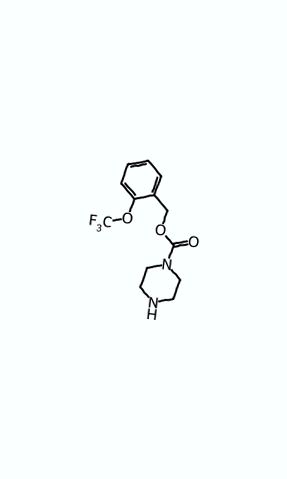 O=C(OCc1ccccc1OC(F)(F)F)N1CCNCC1